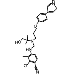 Cc1c(NCN(CCCOc2ccc(C3=CCNC=C3)cc2)C(C)(C)CO)ccc(C#N)c1Cl